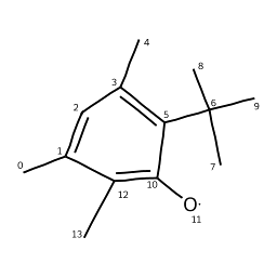 Cc1cc(C)c(C(C)(C)C)c([O])c1C